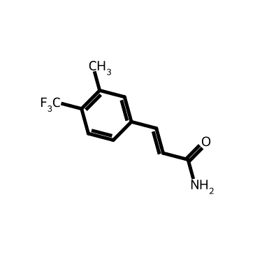 Cc1cc(C=CC(N)=O)ccc1C(F)(F)F